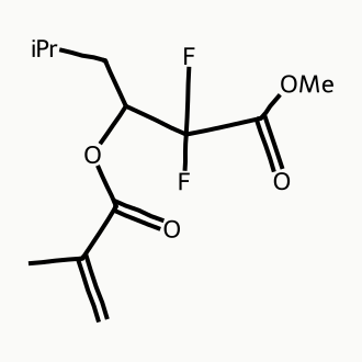 C=C(C)C(=O)OC(CC(C)C)C(F)(F)C(=O)OC